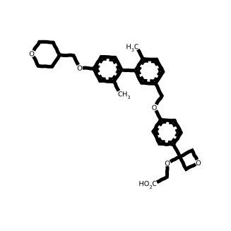 Cc1cc(OCC2CCOCC2)ccc1-c1cc(COc2ccc(C3(OCC(=O)O)COC3)cc2)ccc1C